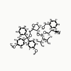 COc1ccc(C(OCC2OC[C@H](OCc3ccccc3)[C@@H]2OP(OCCC#N)N(C(C)C)C(C)C)(c2ccccc2)c2ccc(OC)cc2)cc1